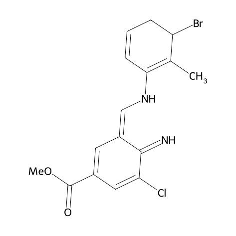 COC(=O)C1=C/C(=C/NC2=C(C)C(Br)CC=C2)C(=N)C(Cl)=C1